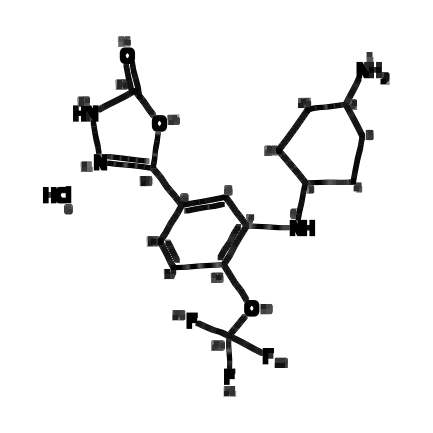 Cl.NC1CCC(Nc2cc(-c3n[nH]c(=O)o3)ccc2OC(F)(F)F)CC1